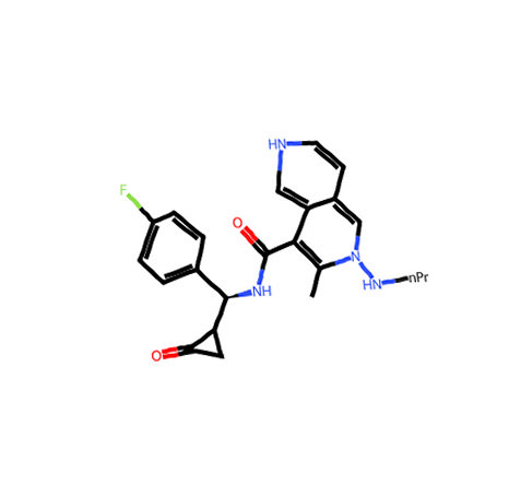 CCCNN1C=C2C=CNC=C2C(C(=O)N[C@H](c2ccc(F)cc2)C2CC2=O)=C1C